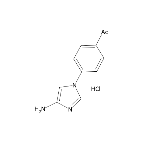 CC(=O)c1ccc(-n2cnc(N)c2)cc1.Cl